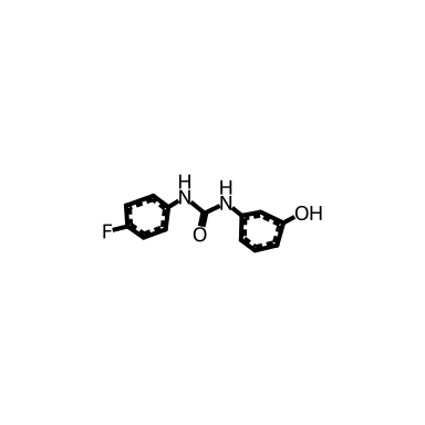 O=C(Nc1ccc(F)cc1)Nc1cccc(O)c1